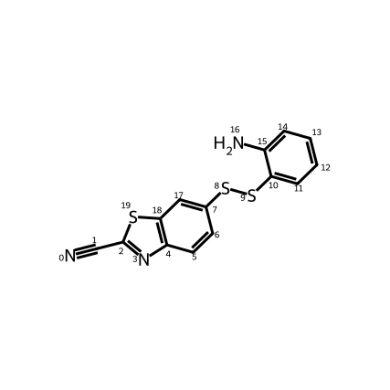 N#Cc1nc2ccc(SSc3ccccc3N)cc2s1